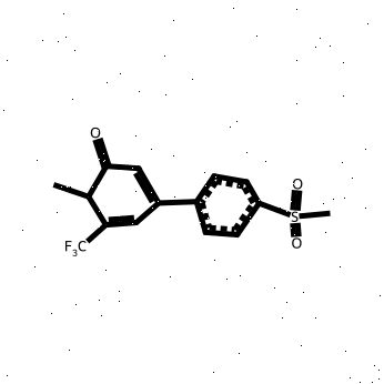 CC1C(=O)C=C(c2ccc(S(C)(=O)=O)cc2)C=C1C(F)(F)F